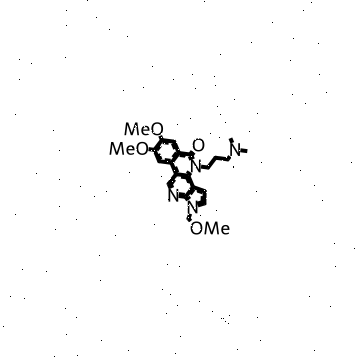 COCn1ccc2c1ncc1c3cc(OC)c(OC)cc3c(=O)n(CCCN(C)C)c12